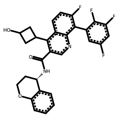 O=C(N[C@H]1CCOc2ccccc21)c1cnc2c(-c3cc(F)cc(F)c3F)c(F)ccc2c1C1CC(O)C1